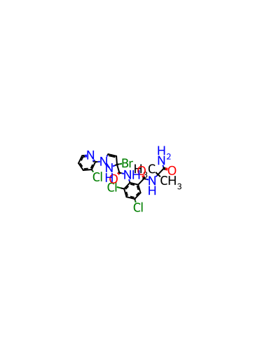 CC(C)(NC(=O)c1cc(Cl)cc(Cl)c1NC(=O)C1(Br)C=CN(c2ncccc2Cl)N1)C(N)=O